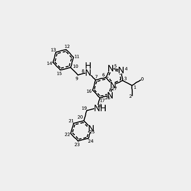 CC(C)c1nnc2c(NCc3ccccc3)cc(NCc3ccccn3)nn12